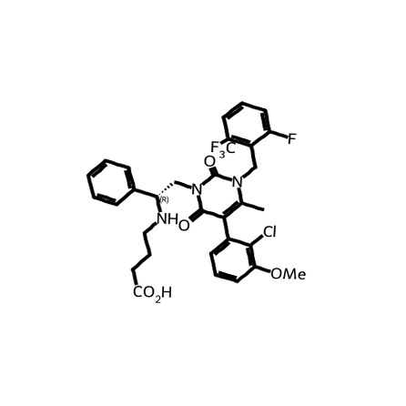 COc1cccc(-c2c(C)n(Cc3c(F)cccc3C(F)(F)F)c(=O)n(C[C@H](NCCCC(=O)O)c3ccccc3)c2=O)c1Cl